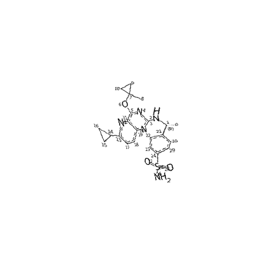 C[C@@H](Nc1nc(OC2(C)CC2)c2nc(C3CC3)ccc2n1)c1ccc(S(N)(=O)=O)cc1